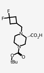 CC(C)(C)OC(=O)N1CCN(CC2CC(F)(F)C2)[C@H](C(=O)O)C1